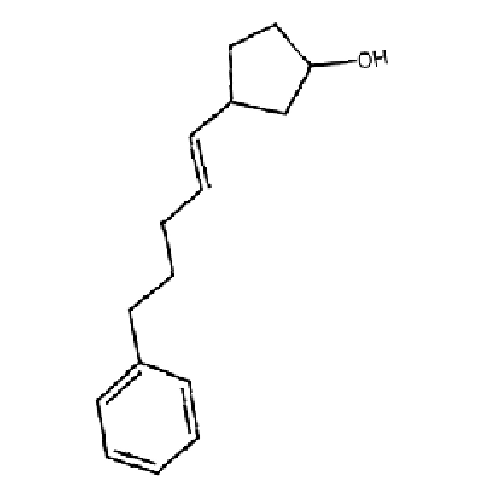 OC1CCC(/C=C/CCCc2ccccc2)C1